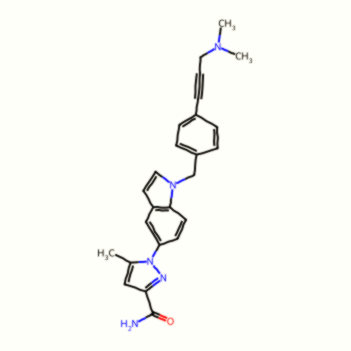 Cc1cc(C(N)=O)nn1-c1ccc2c(ccn2Cc2ccc(C#CCN(C)C)cc2)c1